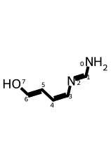 N/C=N/C=C\C=C\O